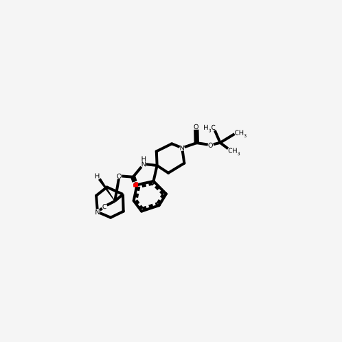 CC(C)(C)OC(=O)N1CCC(NC(=O)O[C@H]2CN3CCC2CC3)(c2ccccc2)CC1